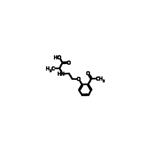 CC(=O)c1ccccc1OCCNC(C)C(=O)O